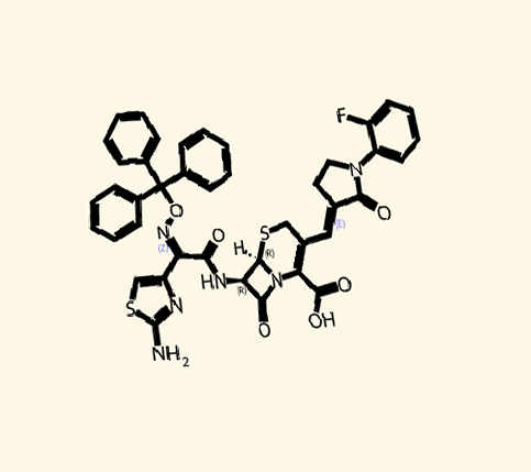 Nc1nc(/C(=N/OC(c2ccccc2)(c2ccccc2)c2ccccc2)C(=O)N[C@@H]2C(=O)N3C(C(=O)O)=C(/C=C4\CCN(c5ccccc5F)C4=O)CS[C@H]23)cs1